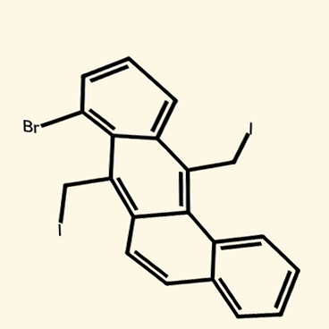 Brc1cccc2c(CI)c3c(ccc4ccccc43)c(CI)c12